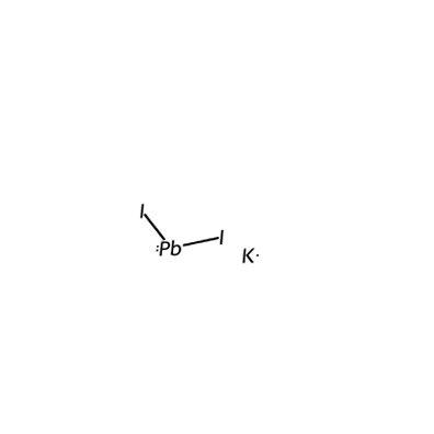 [I][Pb][I].[K]